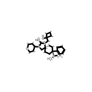 CN(C)[C@]1(c2ccccc2)CC[C@]2(CC1)CN(C1CCOCC1)C(O)N2CC1(O)CCC1